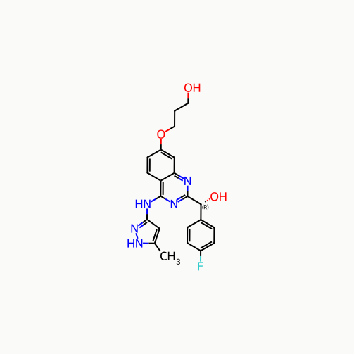 Cc1cc(Nc2nc([C@H](O)c3ccc(F)cc3)nc3cc(OCCCO)ccc23)n[nH]1